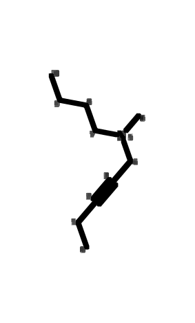 CCC#CCN(C)CCCC